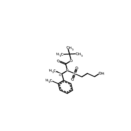 Cc1ccccc1[C@@H](C)N(C(=O)OC(C)(C)C)S(=O)(=O)CCCO